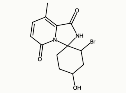 Cc1ccc(=O)n2c1C(=O)NC21CCC(O)CC1Br